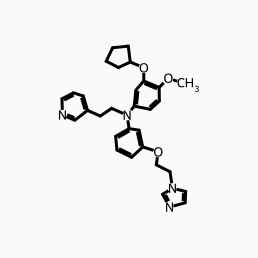 COc1ccc(N(CCc2cccnc2)c2cccc(OCCn3ccnc3)c2)cc1OC1CCCC1